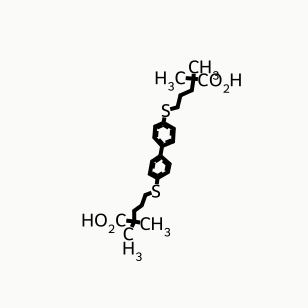 CC(C)(CCCSc1ccc(-c2ccc(SCCCC(C)(C)C(=O)O)cc2)cc1)C(=O)O